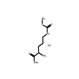 COC(=O)C(N)CCCNC(=O)OC(C)(C)C.Cl